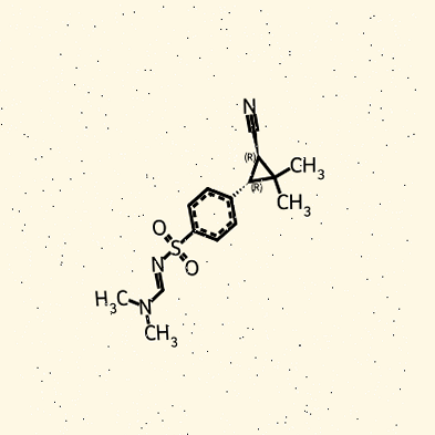 CN(C)C=NS(=O)(=O)c1ccc([C@@H]2[C@@H](C#N)C2(C)C)cc1